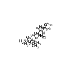 CC(C)(C)C1(OC(N)=O)CCC(Oc2nc(Cl)nc3c2cnn3C2CCCCO2)CC1